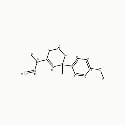 COc1ccc(C2(C)COCC(N(C)N=O)=N2)cc1